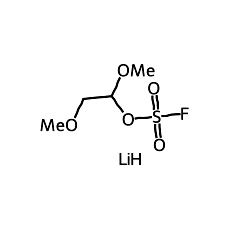 COCC(OC)OS(=O)(=O)F.[LiH]